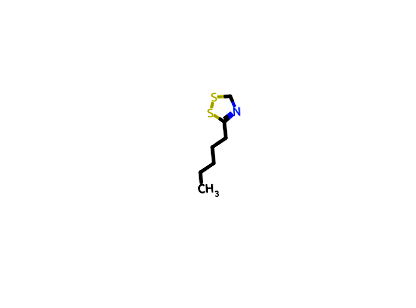 CCCCCC1=NCSS1